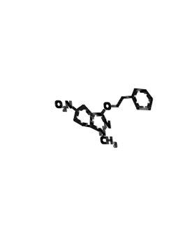 Cn1nc(OCCc2ccccc2)c2cc([N+](=O)[O-])ccc21